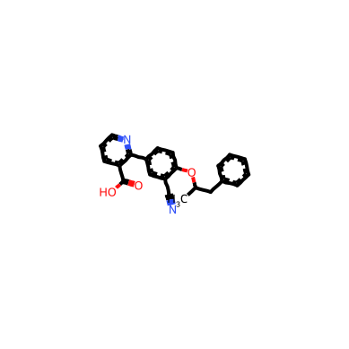 CC(Cc1ccccc1)Oc1ccc(-c2ncccc2C(=O)O)cc1C#N